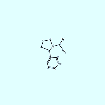 [2H]C([2H])N1CCCC1c1cccnc1